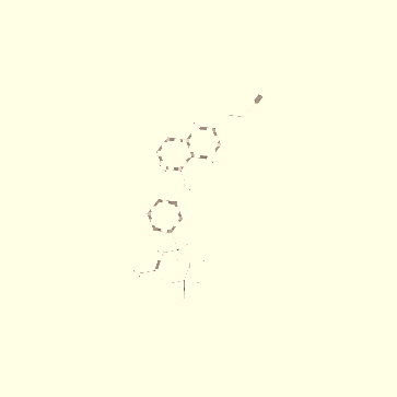 C#CCOc1cnc2c(Nc3ccc(F)c([C@@]4(C)N=C(N)S[C@](C)(CF)[C@H]4C)c3)nccc2n1